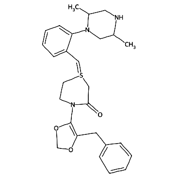 CC1CN(c2ccccc2C=S2CCN(C3=C(Cc4ccccc4)OCO3)C(=O)C2)C(C)CN1